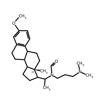 COc1ccc2c(c1)CCC1C2CC[C@@]2(C)C1CCC2C(C)N(C=O)CCCN(C)C